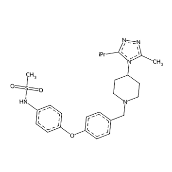 Cc1nnc(C(C)C)n1C1CCN(Cc2ccc(Oc3ccc(NS(C)(=O)=O)cc3)cc2)CC1